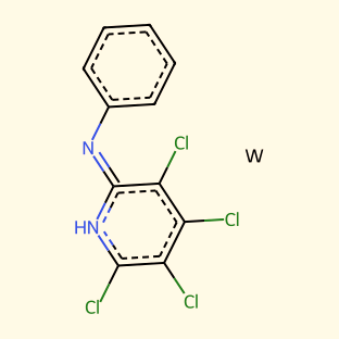 Clc1[nH]c(=Nc2ccccc2)c(Cl)c(Cl)c1Cl.[W]